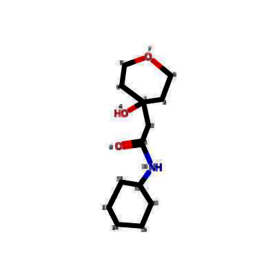 O=C(CC1(O)CCOCC1)NC1CCCCC1